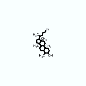 CC(C)CCCC(C)C1CCC2(C)C3=CCC4C(C)C(O)CCC4(C)C3CCC12C